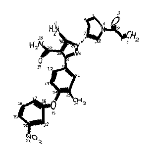 C=CC(=O)N1CC[C@@H](n2nc(-c3ccc(Oc4cccc([N+](=O)[O-])c4)c(C)c3)c(C(N)=O)c2N)C1